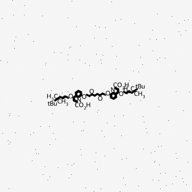 CC(C)(C)CC(C)(C)CC=CCOc1cc(C(=O)O)nc2c(OCCC(=O)CCC(=O)CCOc3cccc4c(OCC=CCC(C)(C)CC(C)(C)C)cc(C(=O)O)nc34)cccc12